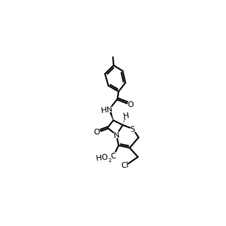 Cc1ccc(C(=O)N[C@@H]2C(=O)N3C(C(=O)O)=C(CCl)CS[C@H]23)cc1